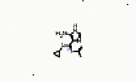 C=C(C)/N=C(/NC1CC1)c1nc[nH]c1N